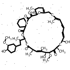 CO[C@@H]1CC(C[C@@H](C)[C@@H]2CC(=O)[C@H](C)/C=C(\C)[C@H](O)[C@@H](OC)C(=O)[C@H](C)C[C@H](C)/C=C/C=C/C=C(\C)CC[C@@H]3CC[C@@H](C)[C@@](O)(O3)C(=O)C(=O)N3CCCCC3C(=O)O2)CC[C@H]1O